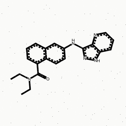 CCN(CC)C(=O)c1cccc2cc(Nc3n[nH]c4cccnc34)ccc12